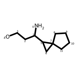 NC(CC[O])C1CC12CCCC2